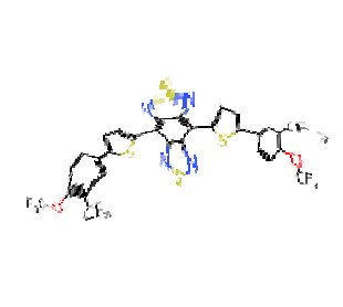 FC(F)(F)Oc1ccc(-c2ccc(-c3c4c(c(-c5ccc(-c6ccc(OC(F)(F)F)c(C(F)(F)F)c6)s5)c5nsnc35)N=S=N4)s2)cc1C(F)(F)F